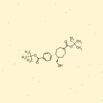 CC(C)(C)OC(=O)c1ccc([C@@H]2CCN(C(=O)OC(C)(C)C)CC[C@H]2CO)cc1